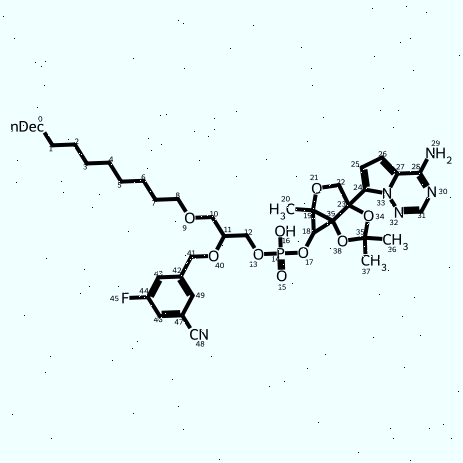 CCCCCCCCCCCCCCCCCCOCC(COP(=O)(O)OC1C2(C)OCC3(c4ccc5c(N)ncnn45)OC(C)(C)OC132)OCc1cc(F)cc(C#N)c1